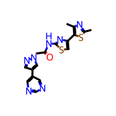 Cc1nc(C)c(-c2csc(NC(=O)Cn3cc(-c4cncnc4)cn3)n2)s1